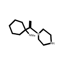 C=C(N1CCNCC1)C1(NC)CCCCC1